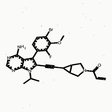 C=CC(=O)N1CC2C(C#Cc3c(-c4ccc(Br)c(OC)c4F)c4c(N)ncnc4n3C(C)C)C2C1